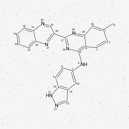 Cc1ccc2c(Nc3ccc4[nH]ncc4c3)nc(-c3cnc4ccccc4n3)nc2c1